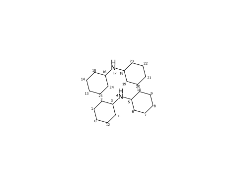 C1CCC(NC2CCCCC2)CC1.C1CCC(NC2CCCCC2)CC1